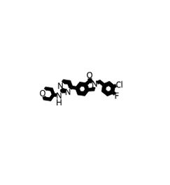 O=C1c2cc(-c3ccnc(NC4CCOCC4)n3)ccc2CN1Cc1ccc(F)c(Cl)c1